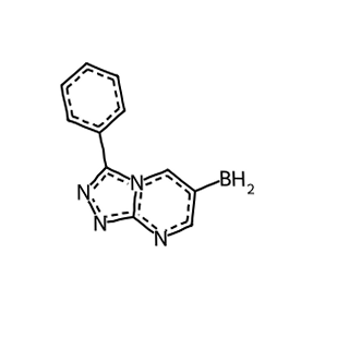 Bc1cnc2nnc(-c3ccccc3)n2c1